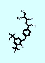 CC(CC(O)C(N)CO)c1ccc(Sc2cc(C(F)(F)F)cc(C(F)(F)F)c2Cl)cc1